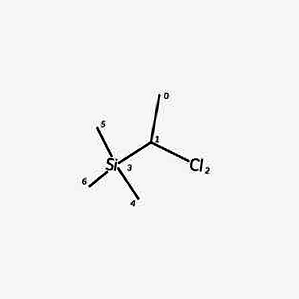 CC(Cl)[Si](C)(C)C